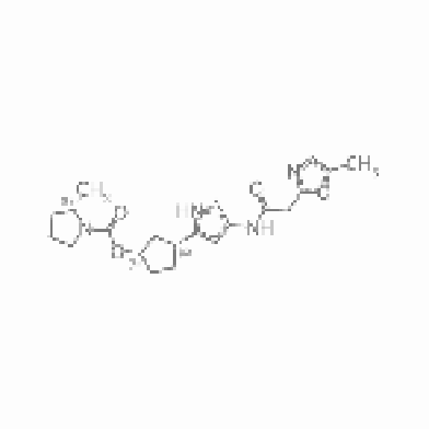 Cc1cnc(CC(=O)Nc2cc([C@H]3CC[C@@H](OC(=O)N4CCC[C@@H]4C)C3)[nH]n2)o1